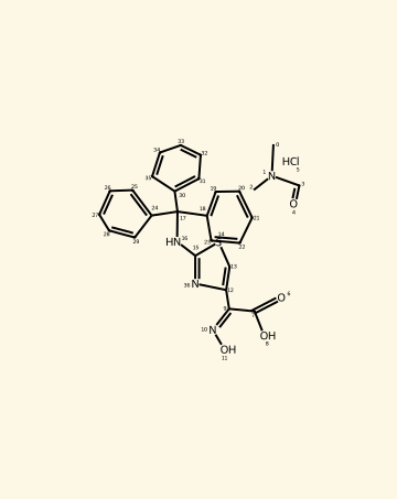 CN(C)C=O.Cl.O=C(O)C(=NO)c1csc(NC(c2ccccc2)(c2ccccc2)c2ccccc2)n1